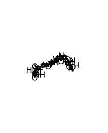 CCN(C)S(=O)(=O)Nc1ccc(F)c(Oc2ccc3ncn(-c4cnc(N5CCN(C(=O)CN6CCC(c7cc(OC)c(NC8CCC(=O)NC8=O)cc7F)CC6)CC5)nc4)c(=O)c3c2)c1C#N